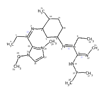 CC/C(=N/C1CC(/N=C(CC)/C(=N\C)NP(C)C)CCC1C)c1n(OC)cc[n+]1C